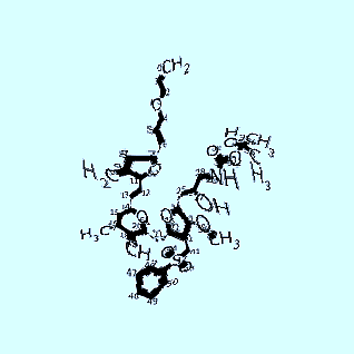 C=CCOC/C=C/[C@H]1CC(=C)[C@H](CC[C@H]2C[C@@H](C)C(=C)[C@@H](C[C@@H]3O[C@H](C[C@H](O)CNC(=O)OC(C)(C)C)[C@H](OC)[C@H]3CS(=O)(=O)c3ccccc3)O2)O1